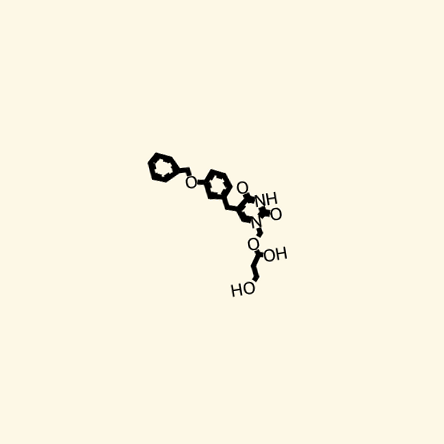 O=c1[nH]c(=O)n(COC(O)CCO)cc1Cc1cccc(OCc2ccccc2)c1